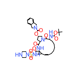 CC(C)(C)OC(=O)NC1CCCCCC=CC2CC2(C(=O)NS(=O)(=O)N2CCNCC2)NC(=O)C2CC(OC(=O)N3Cc4ccccc4C3)CN2C1=O